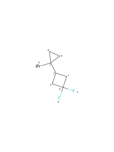 CC(C)C1(C2CC(F)(F)C2)CC1